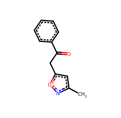 Cc1cc(CC(=O)c2ccccc2)on1